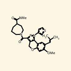 CNC(=O)C1CCCN(C(=O)c2nn(-c3ccsc3)c3c2COc2cc(OC)c(C=C(C)C)cc2-3)CC1